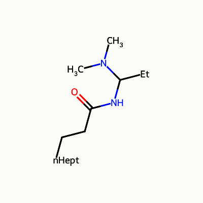 CCCCCCCCCC(=O)NC(CC)N(C)C